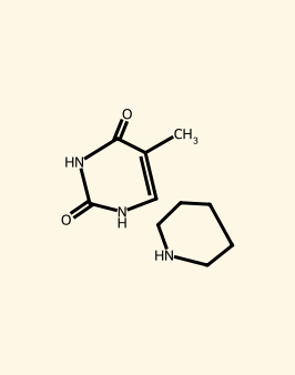 C1CCNCC1.Cc1c[nH]c(=O)[nH]c1=O